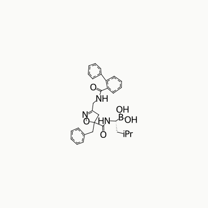 CC(C)C[C@H](NC(=O)C1(Cc2ccccc2)CC(CNC(=O)c2ccccc2-c2ccccc2)=NO1)B(O)O